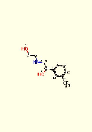 OCCNCC(O)c1cccc(C(F)(F)F)c1